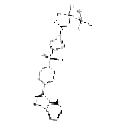 CC(F)(F)C(O)(CC(=O)N1CC(S(=O)(=O)N2CCC(c3c[nH]c4cccnc34)CC2)C1)C(F)(F)F